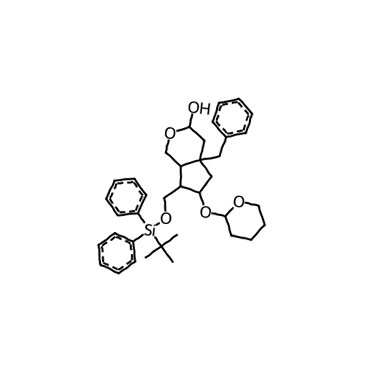 CC(C)(C)[Si](OCC1C(OC2CCCCO2)CC2(Cc3ccccc3)CC(O)OCC12)(c1ccccc1)c1ccccc1